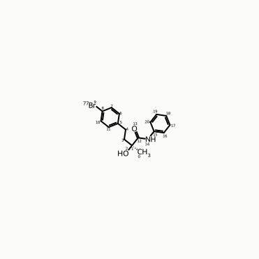 C[C@](O)(CCc1ccc([77Br])cc1)C(=O)Nc1ccccc1